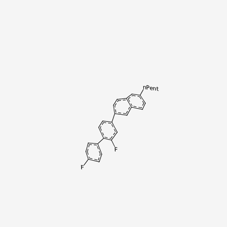 CCCCCc1ccc2cc(-c3ccc(-c4ccc(F)cc4)c(F)c3)ccc2c1